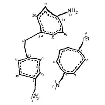 CCCc1ccc(N)cc1.Nc1ccc(Cc2ccc(N)cc2)cc1